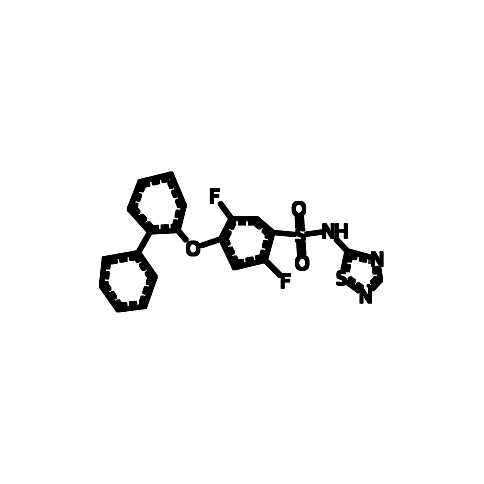 O=S(=O)(Nc1ncns1)c1cc(F)c(Oc2ccccc2-c2ccccc2)cc1F